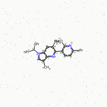 CCCC(CCC)n1cc(C)c2nc(-c3ccc(C(C)C)nc3OC)c(C)cc21